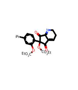 CCOC(=O)Oc1cc(C(C)C)ccc1C1(OC(=O)OCC)C(=O)C2=CCCN=C2C1=O